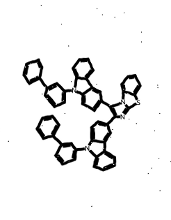 c1ccc(-c2cccc(-n3c4ccccc4c4cc(-c5nc6sc7ccccc7n6c5-c5ccc6c(c5)c5ccccc5n6-c5cccc(-c6ccccc6)c5)ccc43)c2)cc1